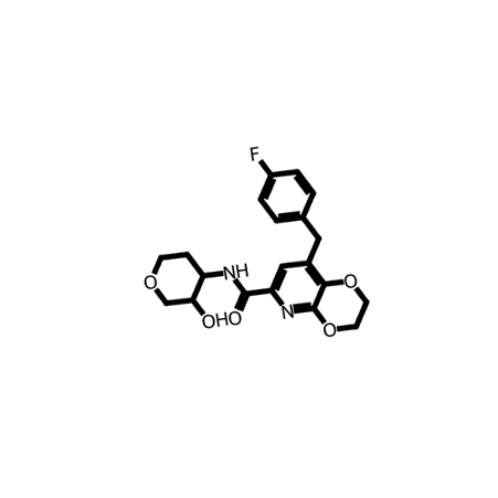 O=C(NC1CCOCC1O)c1cc(Cc2ccc(F)cc2)c2c(n1)OCCO2